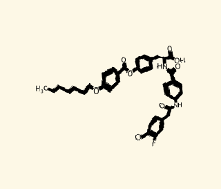 CCCCCCCOc1ccc(C(=O)Oc2ccc(C[C@H](NC(=O)c3ccc(NC(=O)Cc4ccc(Cl)c(F)c4)cc3)C(=O)O)cc2)cc1